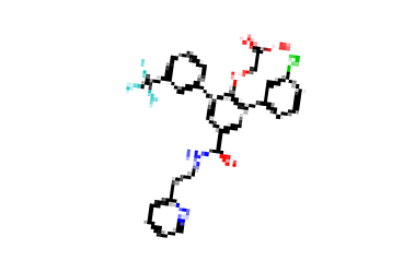 O=C(O)COc1c(-c2cccc(Cl)c2)cc(C(=O)NCCc2ccccn2)cc1-c1cccc(C(F)(F)F)c1